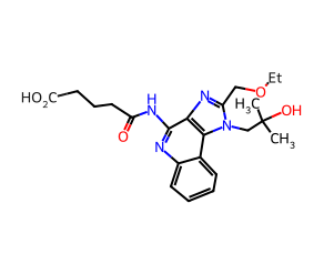 CCOCc1nc2c(NC(=O)CCCC(=O)O)nc3ccccc3c2n1CC(C)(C)O